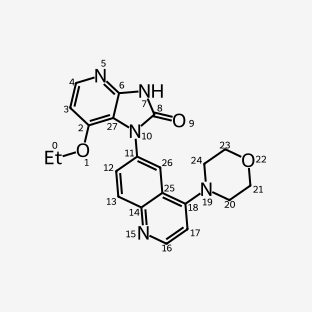 CCOc1ccnc2[nH]c(=O)n(-c3ccc4nccc(N5CCOCC5)c4c3)c12